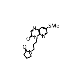 CSc1cnc2c(c1)ncc(=O)n2CCCN1CCCC1=O